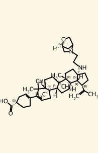 C=C(C)[C@@H]1CC[C@]2(NCCN3C[C@@H]4CC3CO4)CC[C@]3(C)[C@H](CC[C@@H]4[C@@]5(C)CC=C(C6=CC[C@@H](C(=O)O)CC6)C(C)(C)[C@@H]5CC[C@]43C)[C@@H]12